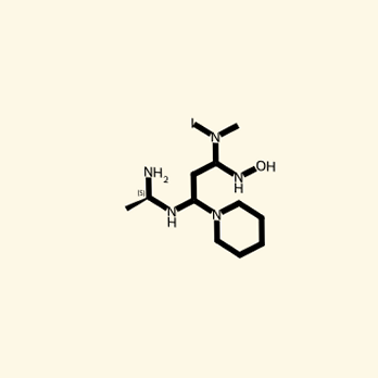 C[C@@H](N)NC(CC(NO)N(C)I)N1CCCCC1